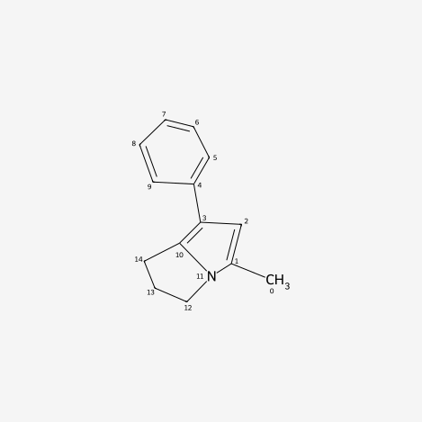 Cc1cc(-c2ccccc2)c2n1CCC2